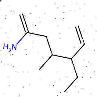 C=CC(CC)C(C)CC(=C)N